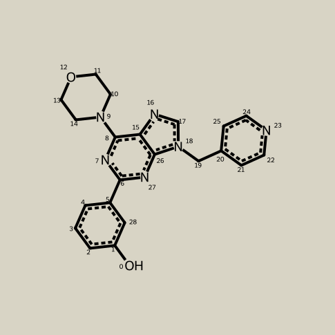 Oc1cccc(-c2nc(N3CCOCC3)c3ncn(Cc4ccncc4)c3n2)c1